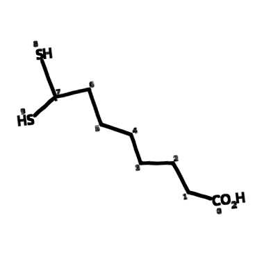 O=C(O)CCCCCC[C](S)S